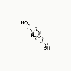 O[C]Cc1cnc(CCCS)cn1